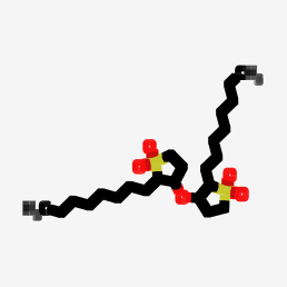 CCCCCCCCC1C(OC2CCS(=O)(=O)C2CCCCCCCC)CCS1(=O)=O